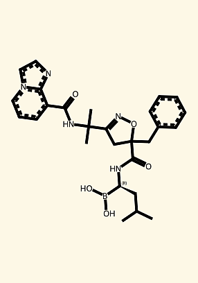 CC(C)C[C@H](NC(=O)C1(Cc2ccccc2)CC(C(C)(C)NC(=O)c2cccn3ccnc23)=NO1)B(O)O